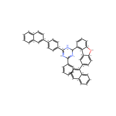 c1ccc(C2=NC(c3cccc4oc5ccc(-c6cccc7ccccc67)cc5c34)NC(c3ccc(-c4ccc5ccccc5c4)cc3)=N2)cc1